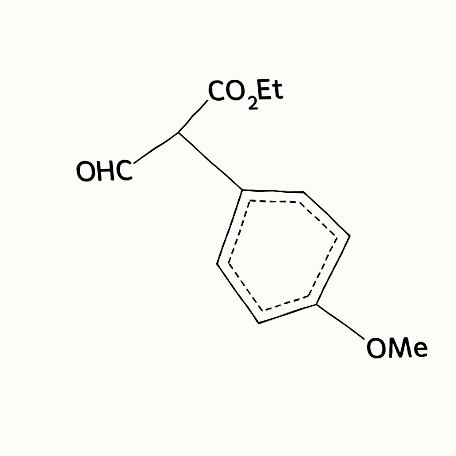 CCOC(=O)C(C=O)c1ccc(OC)cc1